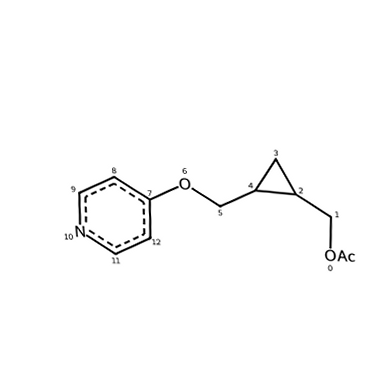 CC(=O)OCC1CC1COc1ccncc1